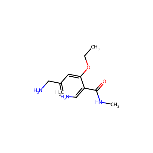 C=C(/C=C(OCC)\C(=C/N)C(=O)NC)CN